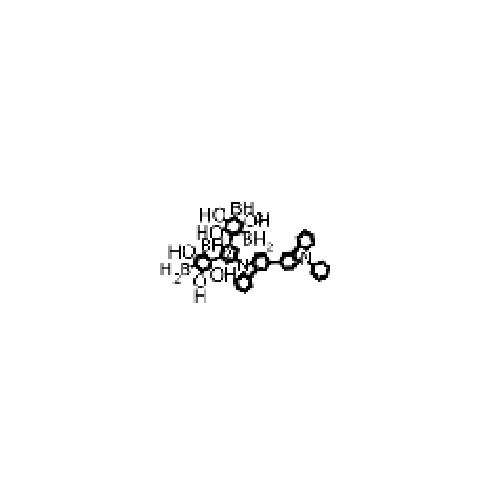 Bc1c(O)c(B)c(-c2cc(-c3c(B)c(O)c(B)c(O)c3O)cc(-n3c4ccccc4c4cc(-c5ccc6c(c5)c5ccccc5n6-c5ccccc5)ccc43)c2)c(O)c1O